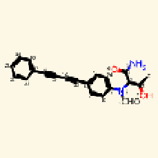 CC(O)C(C(N)=O)N(C=O)c1ccc(C#CC#Cc2ccccc2)cc1